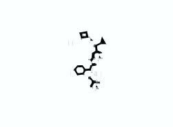 Cc1nonc1C(=O)N[C@H](c1cn2ncc(C(NC(=O)[C@@H]3CC[C@@H]3C)C3CC3)cc2n1)C1CCC(F)(F)CC1